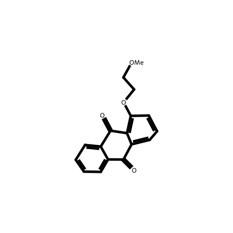 COCCOc1cccc2c1C(=O)c1ccccc1C2=O